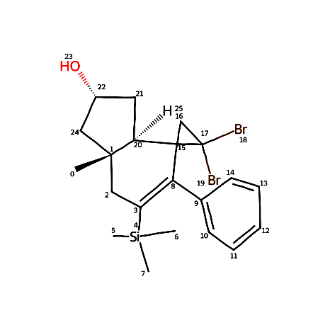 C[C@]12CC([Si](C)(C)C)=C(c3ccccc3)C3(CC3(Br)Br)[C@@H]1C[C@@H](O)C2